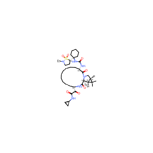 CCN1CC[C@@H](C2(NC(=O)N[C@H]3CCCCCCCCC[C@@H](C(=O)C(=O)NC4CC4)NC(=O)[C@@H]4[C@@H]5[C@H](CN4C3=O)C5(C)C)CCCCC2)S1(=O)=O